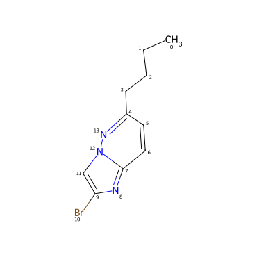 CCCCc1ccc2nc(Br)cn2n1